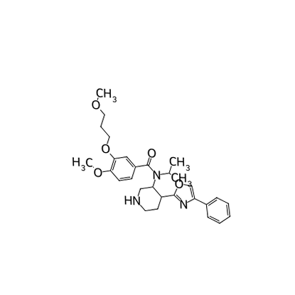 COCCCOc1cc(C(=O)N(C(C)C)C2CNCCC2c2nc(-c3ccccc3)co2)ccc1OC